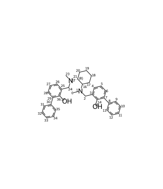 CN(Cc1cccc(-c2ccccc2)c1O)C1CCCC[C@H]1N(C)Cc1cccc(-c2ccccc2)c1O